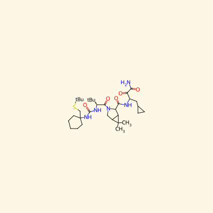 CC(C)(C)SCC1(NC(=O)N[C@H](C(=O)N2CC3C(C2C(=O)NC(CC2CC2)C(=O)C(N)=O)C3(C)C)C(C)(C)C)CCCCC1